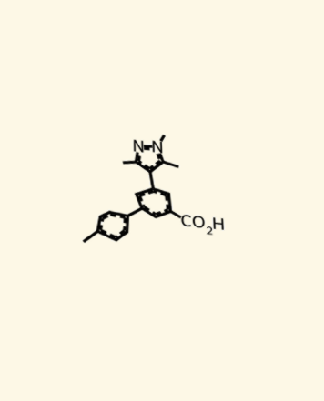 Cc1ccc(-c2cc(C(=O)O)cc(-c3c(C)nn(C)c3C)c2)cc1